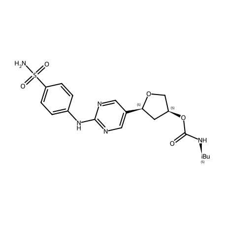 CC[C@H](C)NC(=O)O[C@@H]1CO[C@H](c2cnc(Nc3ccc(S(N)(=O)=O)cc3)nc2)C1